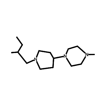 CCC(C)CN1CCC(N2CCN(C)CC2)CC1